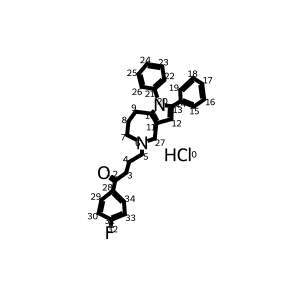 Cl.O=C(CCCN1CCCc2c(cc(-c3ccccc3)n2-c2ccccc2)C1)c1ccc(F)cc1